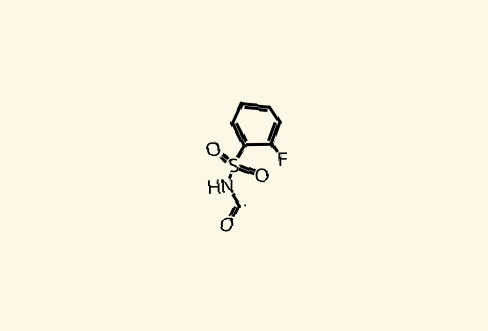 O=[C]NS(=O)(=O)c1ccccc1F